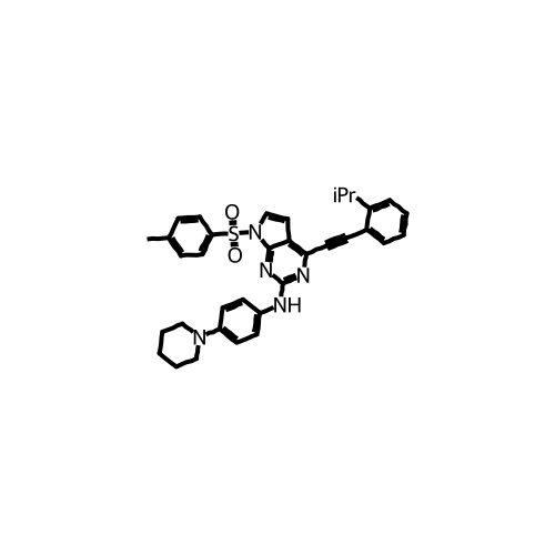 Cc1ccc(S(=O)(=O)n2ccc3c(C#Cc4ccccc4C(C)C)nc(Nc4ccc(N5CCCCC5)cc4)nc32)cc1